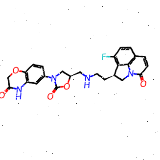 O=C1COc2ccc(N3C[C@@H](CNCC[C@@H]4Cn5c(=O)ccc6ccc(F)c4c65)OC3=O)cc2N1